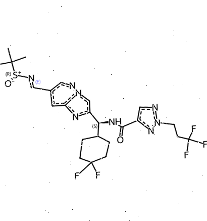 CC(C)(C)[S@+]([O-])/N=C/c1cnn2cc([C@@H](NC(=O)c3cnn(CCC(F)(F)F)n3)C3CCC(F)(F)CC3)nc2c1